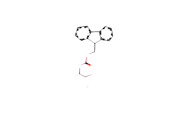 CC(C)[C@@H](O)[C@H](NC(=O)OCC1c2ccccc2-c2ccccc21)C(=O)O